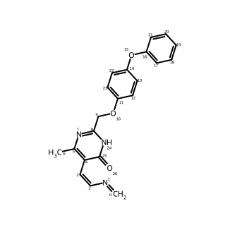 C=N/C=C\c1c(C)nc(COc2ccc(Oc3ccccc3)cc2)[nH]c1=O